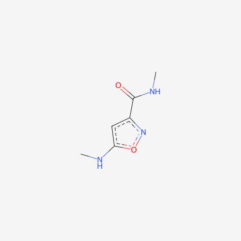 CNC(=O)c1cc(NC)on1